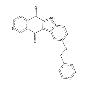 O=C1c2ccncc2C(=O)c2c1[nH]c1ccc(OCc3ccccc3)cc21